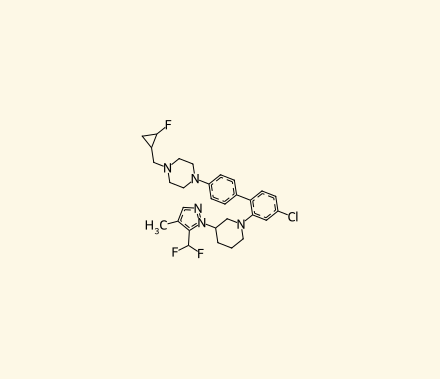 Cc1cnn(C2CCCN(c3cc(Cl)ccc3-c3ccc(N4CCN(CC5CC5F)CC4)cc3)C2)c1C(F)F